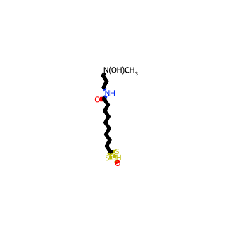 CN(O)CCCNC(=O)CCCCCCCCC12S[SH]1(=O)S2